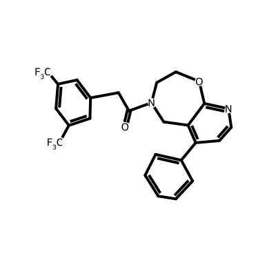 O=C(Cc1cc(C(F)(F)F)cc(C(F)(F)F)c1)N1CCOc2nccc(-c3ccccc3)c2C1